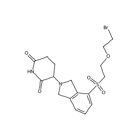 O=C1CCC(N2Cc3cccc(S(=O)(=O)CCOCCBr)c3C2)C(=O)N1